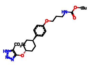 CCOC(=O)c1[nH]nnc1O[C@H]1CC[C@H](c2ccc(OCCCNC(=O)OC(C)(C)C)cc2)CC1